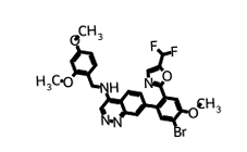 COc1ccc(CNc2cnnc3cc(-c4cc(Br)c(OC)cc4-c4ncc(C(F)F)o4)ccc23)c(OC)c1